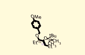 CC/C=C(\O[Si](C)(C)C(C)(C)C)[C@H](CC)OCc1ccc(OC)cc1